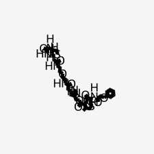 CC1=C(C(=O)OCc2cn(CC(=O)NCCOCCNC(=O)C[C@@H]3SC[C@@H]4NC(=O)N[C@@H]43)nn2)N2C(=O)[C@@H](NC(=O)COc3ccccc3)[C@H]2SC1